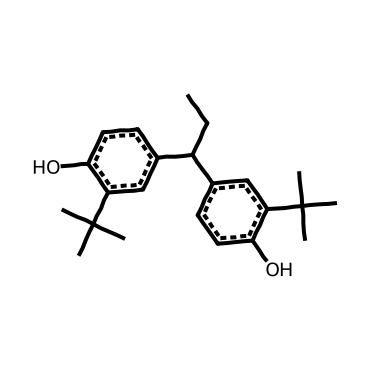 CCC(c1ccc(O)c(C(C)(C)C)c1)c1ccc(O)c(C(C)(C)C)c1